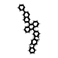 c1ccc(-c2ccc3cc(-c4c5ccccc5c(-c5ccc6sc7cc8c(cc7c6c5)sc5ccccc58)c5ccccc45)ccc3c2)cc1